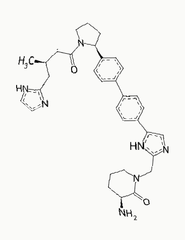 C[C@@H]([CH]C(=O)N1CCC[C@H]1c1ccc(-c2ccc(-c3cnc(CN4CCC[C@H](N)C4=O)[nH]3)cc2)cc1)Cc1ncc[nH]1